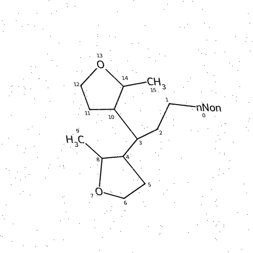 CCCCCCCCCCCC(C1CCOC1C)C1CCOC1C